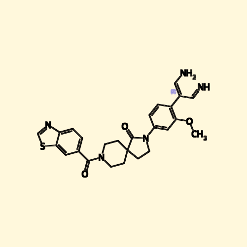 COc1cc(N2CCC3(CCN(C(=O)c4ccc5ncsc5c4)CC3)C2=O)ccc1/C(C=N)=C/N